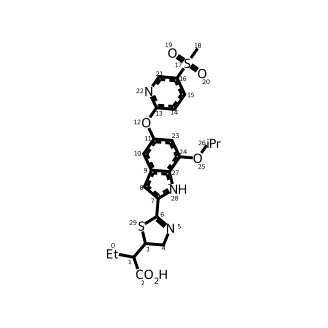 CCC(C(=O)O)C1CN=C(c2cc3cc(Oc4ccc(S(C)(=O)=O)cn4)cc(OC(C)C)c3[nH]2)S1